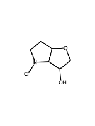 OC1COC2CCN(Cl)C12